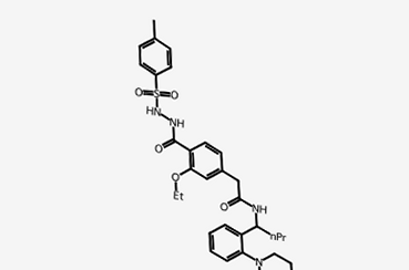 CCCC(NC(=O)Cc1ccc(C(=O)NNS(=O)(=O)c2ccc(C)cc2)c(OCC)c1)c1ccccc1N1CCCCC1